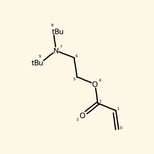 C=CC(=O)OCCN(C(C)(C)C)C(C)(C)C